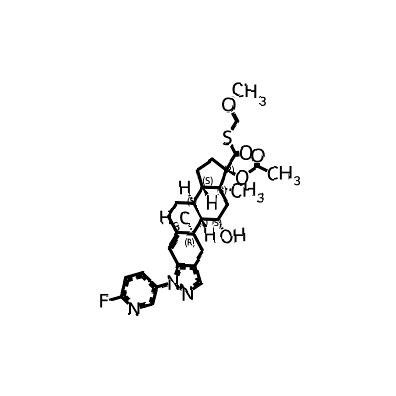 COCSC(=O)[C@@]1(OC(C)=O)CC[C@H]2[C@@H]3CCC4=Cc5c(cnn5-c5ccc(F)nc5)C[C@]4(C)[C@H]3[C@@H](O)C[C@@]21C